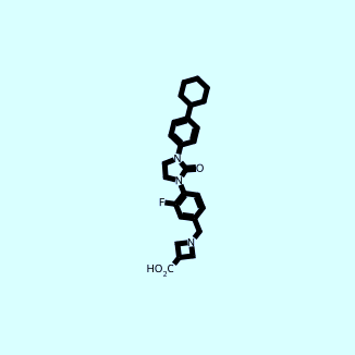 O=C(O)C1CN(Cc2ccc(N3CCN(c4ccc(C5CCCCC5)cc4)C3=O)c(F)c2)C1